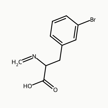 C=NC(Cc1cccc(Br)c1)C(=O)O